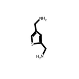 NCc1csc(CN)c1